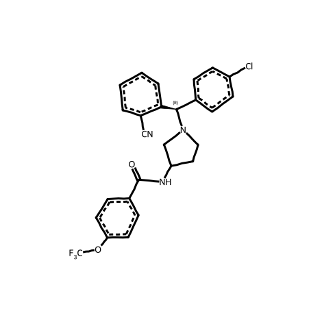 N#Cc1ccccc1[C@@H](c1ccc(Cl)cc1)N1CCC(NC(=O)c2ccc(OC(F)(F)F)cc2)C1